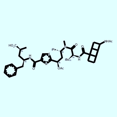 CC[C@H](C)[C@H](NC(=O)C12C3C4C1C1C2C3C41NC(C)=O)C(=O)N(C)[C@H](C[C@@H](OC(C)=O)c1nc(C(=O)N[C@@H](Cc2ccccc2)C[C@H](C)C(=O)O)cs1)C(C)C